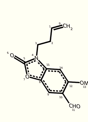 C=CCCn1c(=O)oc2cc(C=O)c(OC)cc21